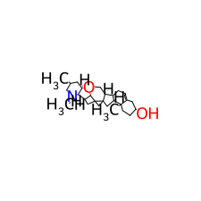 C[C@H]1C[C@H]2O[C@@]34CC[C@H]5C6CC=C7C[C@@H](O)CCC7(C)[C@H]6CC56CC63C[C@@H]4[C@@H]2N(C)C1